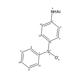 CC(=O)Nc1ccc([S+]([O-])c2ccccc2)cc1